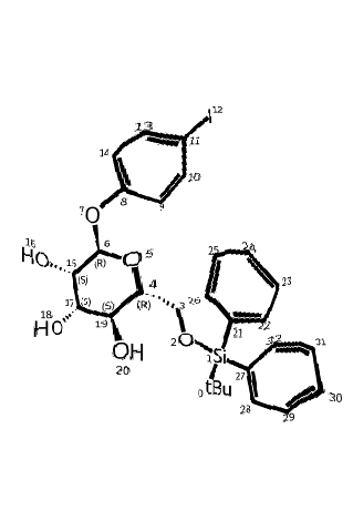 CC(C)(C)[Si](OC[C@H]1O[C@H](Oc2ccc(I)cc2)[C@@H](O)[C@@H](O)[C@@H]1O)(c1ccccc1)c1ccccc1